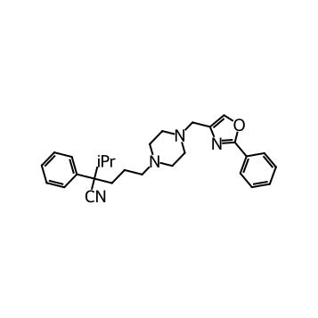 CC(C)C(C#N)(CCCN1CCN(Cc2coc(-c3ccccc3)n2)CC1)c1ccccc1